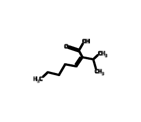 CCCCC=C(C(=O)O)C(C)C